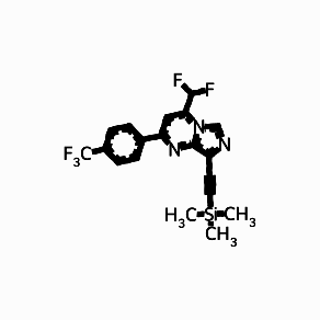 C[Si](C)(C)C#Cc1ncn2c(C(F)F)cc(-c3ccc(C(F)(F)F)cc3)nc12